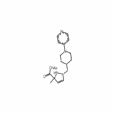 COC(=O)C1(C)C=CN(CC2CCN(c3ccncc3)CC2)N1